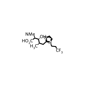 CN[C@H](C(=O)O)[C@H](O)[C@H](C)Cc1nccn1CCC(F)(F)F